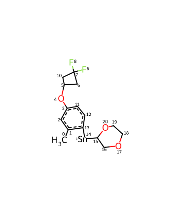 Cc1cc(OC2CC(F)(F)C2)cc[c]1[Sn][CH]1COCCO1